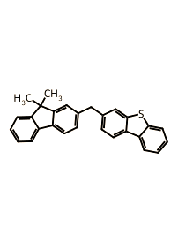 CC1(C)c2ccccc2-c2ccc(Cc3ccc4c(c3)sc3ccccc34)cc21